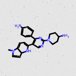 CN1C=CC2NC(c3cnc(N4CCC(N)CC4)nc3-c3ccc(N)cc3)=CC=C21